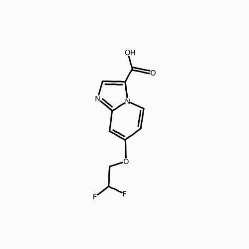 O=C(O)c1cnc2cc(OCC(F)F)ccn12